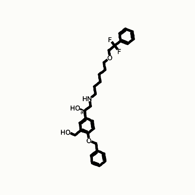 OCc1cc([C@@H](O)CNCCCCCCOCC(F)(F)c2ccccc2)ccc1OCc1ccccc1